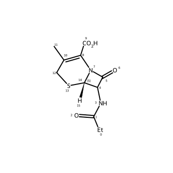 CCC(=O)NC1C(=O)N2C(C(=O)O)=C(C)CS[C@@H]12